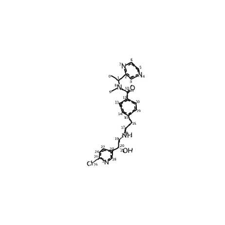 CC(c1cnccn1)N(C)C(=O)c1ccc(CCNC[C@H](O)c2ccc(Cl)nc2)cc1